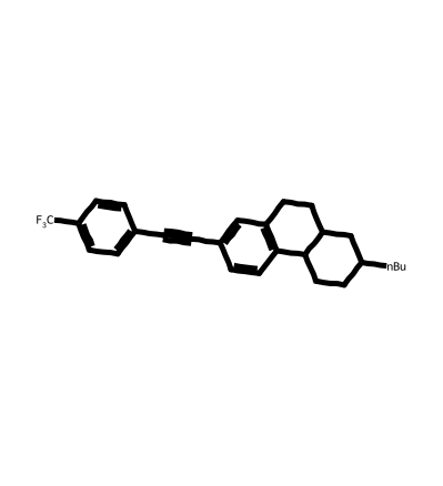 CCCCC1CCC2c3ccc(C#Cc4ccc(C(F)(F)F)cc4)cc3CCC2C1